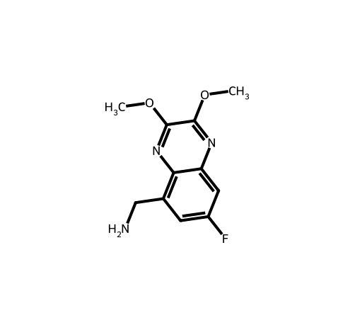 COc1nc2cc(F)cc(CN)c2nc1OC